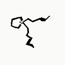 CC=CCC[Si]1(CCC=CC)CCCC1